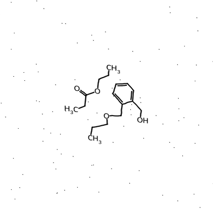 CCCOC(=O)CC.CCCOCc1ccccc1CO